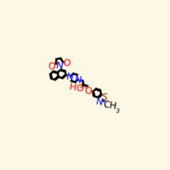 Cc1nc2cc(OC[C@H](O)CN3CCN(c4cc(N5C(=O)CCC5=O)c5ccccc5c4)CC3)ccc2s1